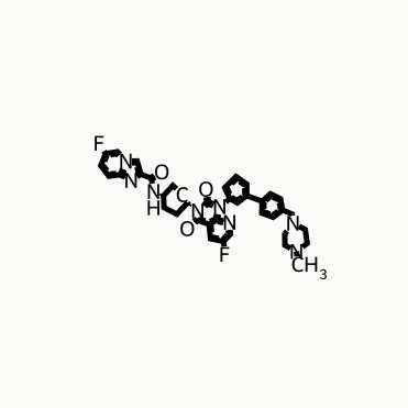 CN1CCN(Cc2ccc(-c3cccc(-n4c(=O)n([C@H]5CC[C@@H](NC(=O)c6cn7cc(F)ccc7n6)CC5)c(=O)c5cc(F)cnc54)c3)cc2)CC1